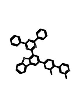 Cc1cc(C2=CC=C(c3cc(-c4nc(-c5ccccc5)nc(-c5ccccc5)n4)c4oc5ccccc5c4c3)CC2C)ccn1